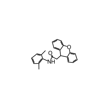 Cc1cccc(C)c1NC(=O)CC1c2ccccc2Oc2ccccc21